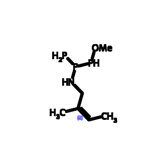 C/C=C(/C)CNP(P)POC